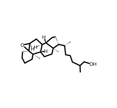 CC(CO)CCC[C@@H](C)[C@H]1CC[C@H]2[C@@H]3C[C@@H]4O[C@@]45CCCC[C@]5(C)[C@H]3CC[C@]12C